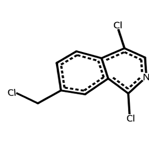 ClCc1ccc2c(Cl)cnc(Cl)c2c1